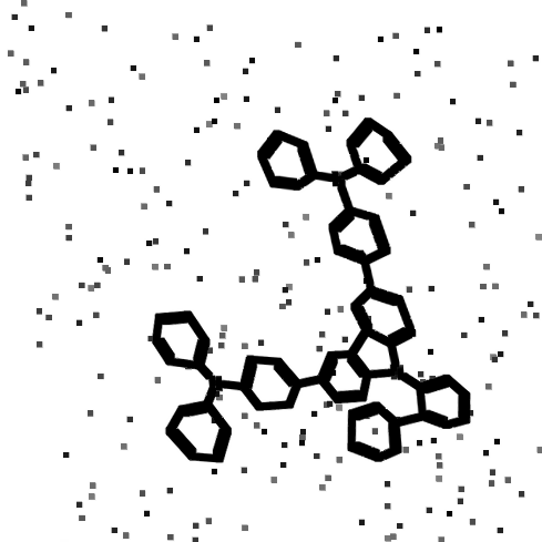 C1=C(c2ccc3c(c2)c2cc(-c4ccc(N(c5ccccc5)c5ccccc5)cc4)ccc2n3-c2ccccc2-c2ccccc2)CCC(N(c2ccccc2)c2ccccc2)=C1